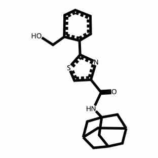 O=C(NC12CC3CC(CC(C3)C1)C2)c1csc(-c2ccccc2CO)n1